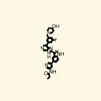 CCC(=O)Nc1cncc(-c2ccc3[nH]nc(-c4nc5c(-c6cc(F)cc(CN7CCC(O)CC7)c6)cncc5[nH]4)c3c2)c1